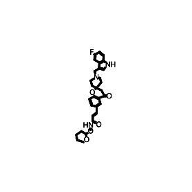 O=C(C=Cc1ccc2c(c1)C(=O)CC1(CCN(Cc3c[nH]c4ccc(F)cc34)CC1)O2)NOC1CCCCO1